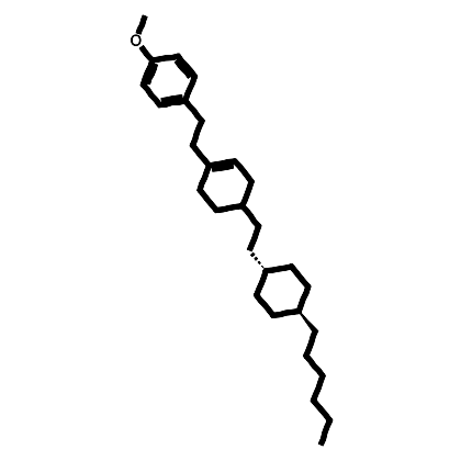 CCCCCC[C@H]1CC[C@H](CCC2CC=C(CCc3ccc(OC)cc3)CC2)CC1